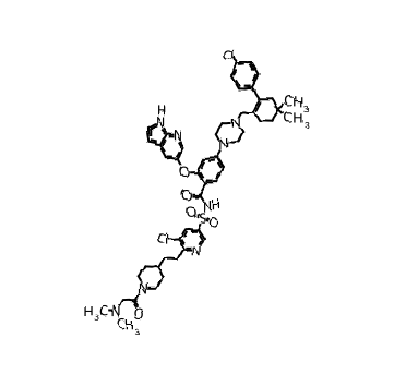 CN(C)CC(=O)N1CCC(CCc2ncc(S(=O)(=O)NC(=O)c3ccc(N4CCN(CC5=C(c6ccc(Cl)cc6)CC(C)(C)CC5)CC4)cc3Oc3cnc4[nH]ccc4c3)cc2Cl)CC1